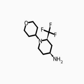 N[C@H]1CCN(C2CCOCC2)[C@@H](C(F)(F)F)C1